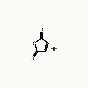 O=C1C=CC(=O)O1.[HH]